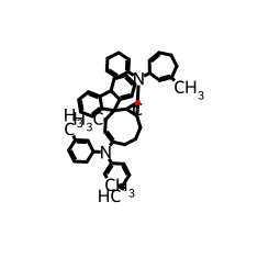 C#C/C=C\C(=C/C)N(/C1=C/C(C)C2(C3=CC=CCC3c3ccccc32)C2C=C(N(C3=CCCC=C3)C3C=CCCC(C)=C3)CCC2CCC1)C1C=C(C)C=CC1